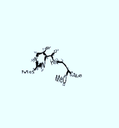 COC(CNC(=O)c1nc(SC)ncc1Br)OC